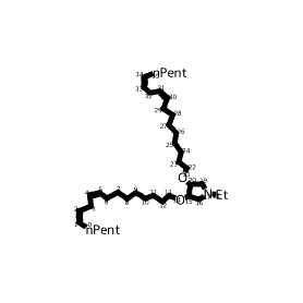 CCCCC/C=C\C/C=C\CCCCCCCCOC1CN(CC)CC1OCCCCCCCC/C=C\C/C=C\CCCCC